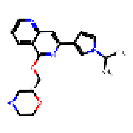 CC(C)n1ccc(-c2cc3ncccc3c(OC[C@@H]3CNCCO3)n2)c1